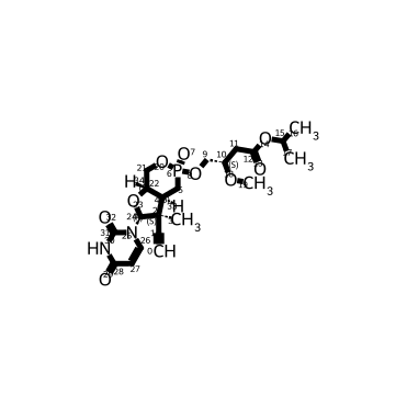 C#C[C@]1(C)[C@@H]2CP(=O)(OC[C@H](CC(=O)OC(C)C)OC)OC[C@H]2O[C@H]1n1ccc(=O)[nH]c1=O